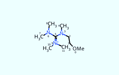 COCCN(C)C(N(C)C)=[N+](C)C